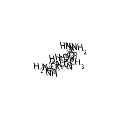 Cc1ncc(CNc2ccc(C(=N)N)cc2)c(C)c1Oc1cccc(C(=N)N)c1